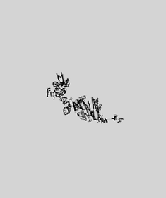 CC(COCCC(=O)N1CCN(c2ccc(CN)cn2)CC1)Oc1cn[nH]c(=O)c1C(F)(F)F